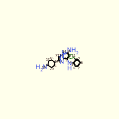 Nc1cc(Nc2ccccc2Cl)c2nc([C@H]3CC[C@H](N)CC3)cn2n1